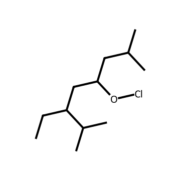 CCC(CC(CC(C)C)OCl)C(C)C